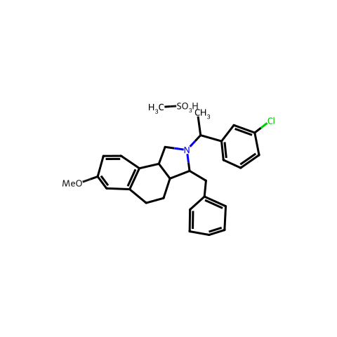 COc1ccc2c(c1)CCC1C2CN(C(C)c2cccc(Cl)c2)C1Cc1ccccc1.CS(=O)(=O)O